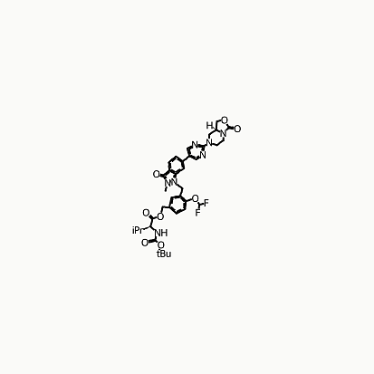 CC(C)[C@H](NC(=O)OC(C)(C)C)C(=O)OCc1ccc(OC(F)F)c(Cn2c3cc(-c4cnc(N5CCN6C(=O)OC[C@@H]6C5)nc4)ccc3c(=O)n2C)c1